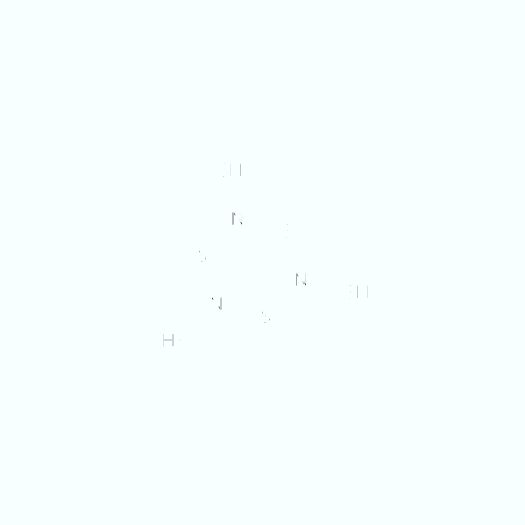 CS1(C)N(S)S(C)(C)N(S)S(C)(C)N1S